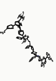 Cc1ccc(-c2cc(C(F)(F)F)nn2-c2ccc(S(=O)(=O)NC(=O)CCC(=O)OC3CN(/[N+]([O-])=N/OC(C)OC(=O)C(C)C)C3)cc2)cc1